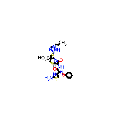 C=CCN1C=NN(SCC2(C(=O)O)CS[C@@H]3C(NC(=O)C(=NOC4C=CCCC4)c4csc(N)n4)C(=O)N3C2)N1